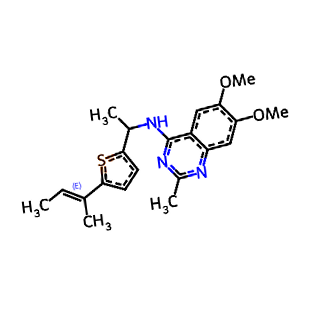 C/C=C(\C)c1ccc(C(C)Nc2nc(C)nc3cc(OC)c(OC)cc23)s1